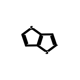 [c]1cc2sccc2s1